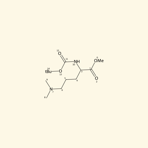 COC(=O)C(CCCN(C)C)NC(=O)OC(C)(C)C